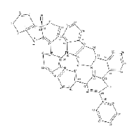 C1=CC2=C(CC1)NC1=C(c3ccccc3-n3c4c(c5ccccc53)CC(c3ccccc3C3CC(c5ccccc5)=CC(c5ccccc5)N3)CC4)C=CC[C@@H]21